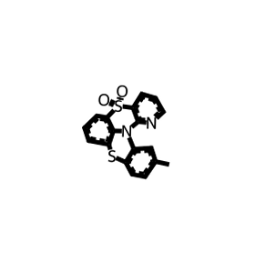 Cc1ccc2c(c1)N1c3ncccc3S(=O)(=O)c3cccc(c31)S2